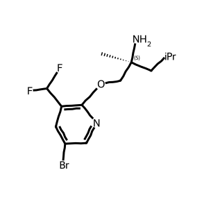 CC(C)C[C@](C)(N)COc1ncc(Br)cc1C(F)F